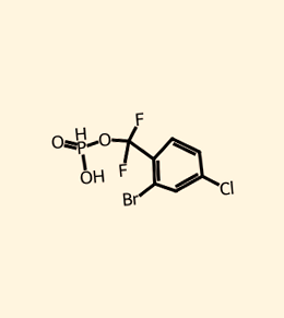 O=[PH](O)OC(F)(F)c1ccc(Cl)cc1Br